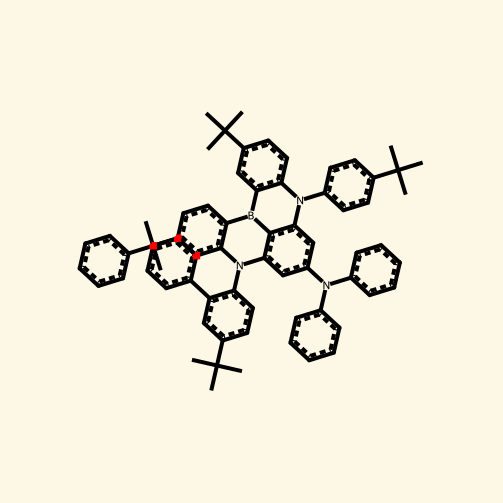 CC(C)(C)c1ccc(N2c3ccc(C(C)(C)C)cc3B3c4ccc(C(C)(C)c5ccccc5)cc4N(c4ccc(C(C)(C)C)cc4-c4ccccc4)c4cc(N(c5ccccc5)c5ccccc5)cc2c43)cc1